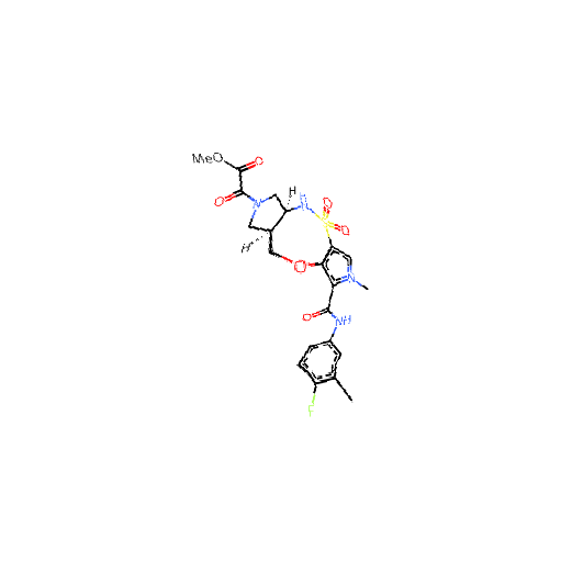 COC(=O)C(=O)N1C[C@@H]2COc3c(cn(C)c3C(=O)Nc3ccc(F)c(C)c3)S(=O)(=O)N[C@@H]2C1